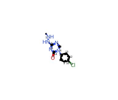 CNNc1ncn(-c2ccc(Cl)cc2)c(=O)n1